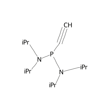 C#CP(N(C(C)C)C(C)C)N(C(C)C)C(C)C